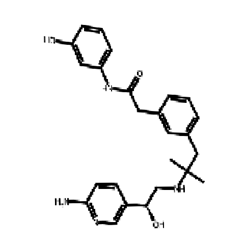 CC(C)(Cc1cccc(CC(=O)Nc2cccc(O)c2)c1)NC[C@@H](O)c1ccc(N)nc1